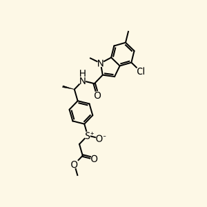 COC(=O)C[S+]([O-])c1ccc([C@@H](C)NC(=O)c2cc3c(Cl)cc(C)cc3n2C)cc1